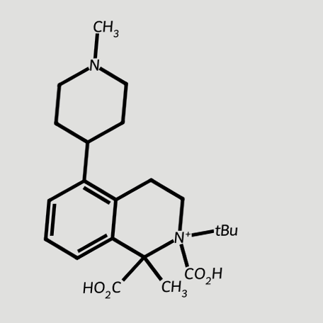 CN1CCC(c2cccc3c2CC[N+](C(=O)O)(C(C)(C)C)C3(C)C(=O)O)CC1